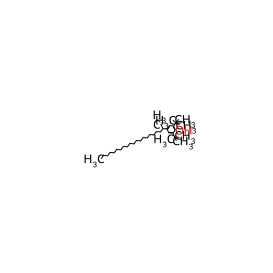 CCCCCCCCCCCCCCCCCCCC(CC)c1cc(C(C)(C)C)c(O)c(C(C)(C)C)c1